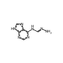 NN=CNc1ncnc2[nH]cnc12